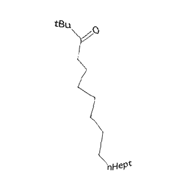 CCCCCCCCCCCCCCC(=O)C(C)(C)C